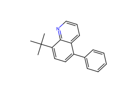 CC(C)(C)c1ccc(-c2ccccc2)c2cccnc12